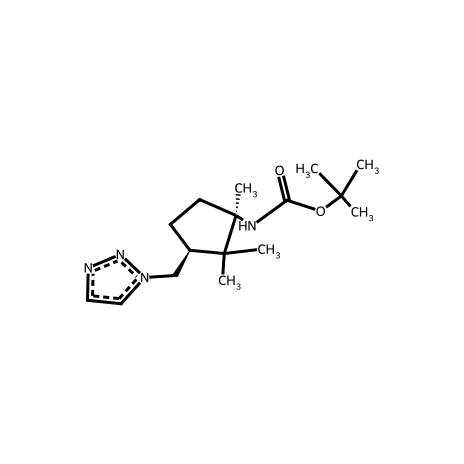 CC(C)(C)OC(=O)N[C@]1(C)CC[C@H](Cn2ccnn2)C1(C)C